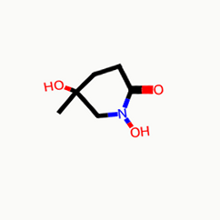 CC1(O)CCC(=O)N(O)C1